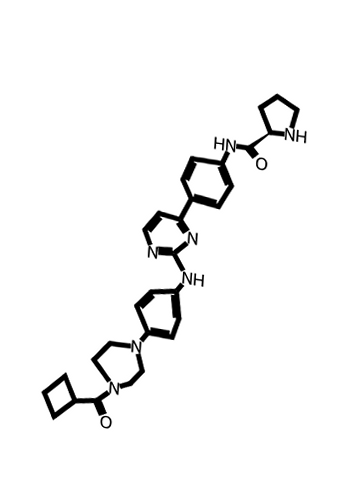 O=C(Nc1ccc(-c2ccnc(Nc3ccc(N4CCN(C(=O)C5CCC5)CC4)cc3)n2)cc1)[C@H]1CCCN1